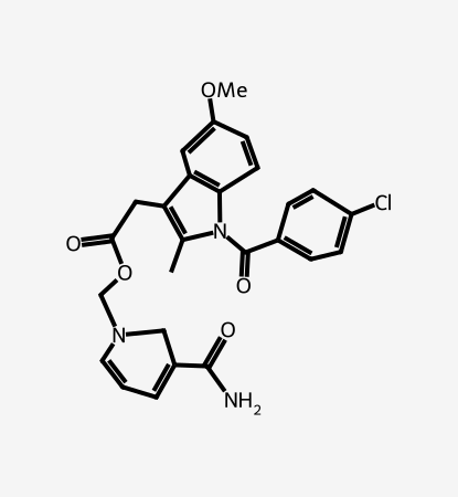 COc1ccc2c(c1)c(CC(=O)OCN1C=CC=C(C(N)=O)C1)c(C)n2C(=O)c1ccc(Cl)cc1